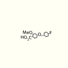 COc1cc(OCc2ccc(F)cc2)ccc1C(=O)O